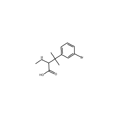 CNC(C(=O)O)C(C)(C)c1cccc(Br)c1